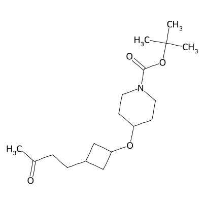 CC(=O)CCC1CC(OC2CCN(C(=O)OC(C)(C)C)CC2)C1